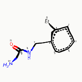 CCc1ccccc1CNC(N)=O